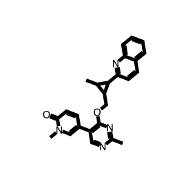 Cc1ncc(-c2ccc(=O)n(C)c2)c(OCC2C(C)C2c2ccc3ccccc3n2)n1